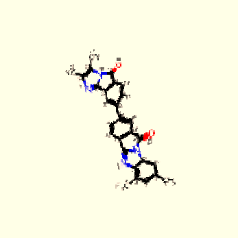 Cc1cc(C(F)(F)F)c2nc3n(c2c1)C(=O)c1cc(-c2ccc4c(c2)-c2nc(C#N)c(C#N)n2C4=O)ccc1-3